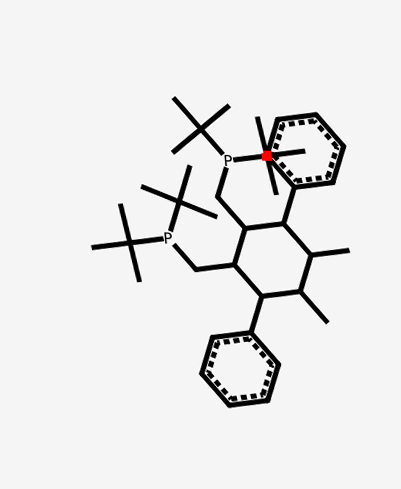 CC1C(C)C(c2ccccc2)C(CP(C(C)(C)C)C(C)(C)C)C(CP(C(C)(C)C)C(C)(C)C)C1c1ccccc1